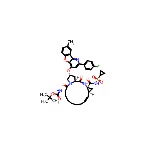 Cc1ccc2oc3c(O[C@@H]4C[C@H]5C(=O)N[C@]6(C(=O)NS(=O)(=O)C7CC7)C[C@H]6/C=C\CCCCC[C@H](NC(=O)OC(C)(C)C)C(=O)N5C4)cc(-c4ccc(F)cc4)nc3c2c1